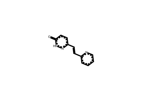 O=c1ccc(/C=C/c2ccccn2)n[nH]1